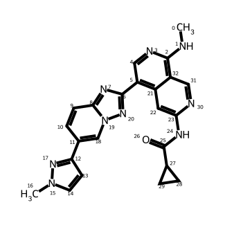 CNc1ncc(-c2nc3ccc(-c4ccn(C)n4)cn3n2)c2cc(NC(=O)C3CC3)ncc12